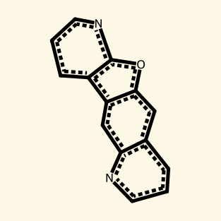 c1cnc2cc3c(cc2c1)oc1ncccc13